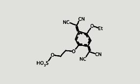 CCOc1cc(=C(C#N)C#N)c(OCCOS(=O)(=O)O)cc1=C(C#N)C#N